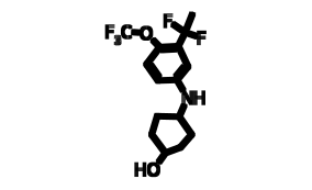 CC(F)(F)c1cc(NC2CCC(O)CC2)ccc1OC(F)(F)F